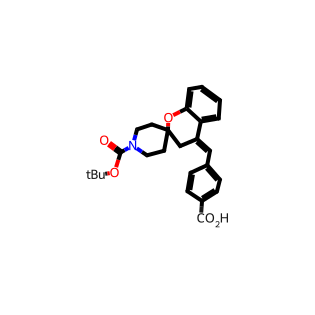 CC(C)(C)OC(=O)N1CCC2(CC1)CC(=Cc1ccc(C(=O)O)cc1)c1ccccc1O2